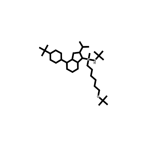 CC(C)C1CC2C(C3CCC(C(C)(C)C)CC3)CCCC2C1[Si](C)(CCCCCCOC(C)(C)C)NC(C)(C)C